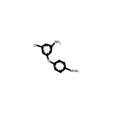 CC(=O)Nc1ccc(Oc2cc(N)cc(Cl)c2)cc1